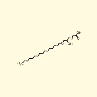 CCCCCCCCCCCCCCCCOCC(O)COCC(=O)O